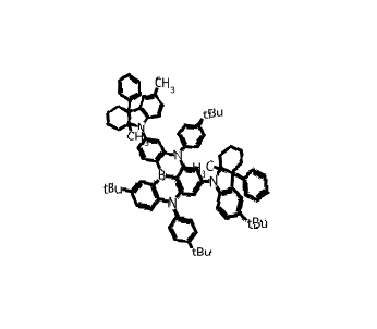 Cc1ccc2c(c1)C1(c3ccccc3)CCCCC1(C)N2c1ccc2c(c1)N(c1ccc(C(C)(C)C)cc1)c1cc(N3c4ccc(C(C)(C)C)cc4C4(c5ccccc5)CCCCC34C)cc3c1B2c1cc(C(C)(C)C)ccc1N3c1ccc(C(C)(C)C)cc1